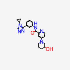 O=C(Nc1cccc(-c2nncn2C2CC2)c1)c1cc(N2CCCC(O)C2)ccn1